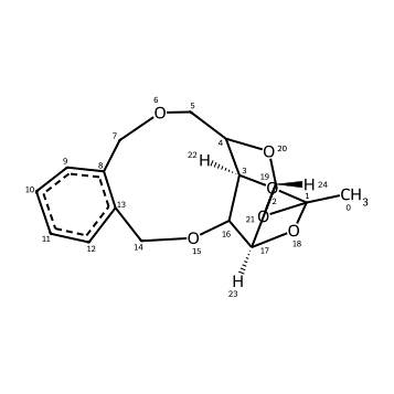 CC12O[C@@H]3C4COCc5ccccc5COC3[C@H](O1)[C@H](O4)O2